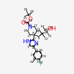 Cc1cc(-c2c[nH]c(C3(CC(C)(C)[Si](C)(C)O)CCN(C(=O)OC(C)(C)C)CC3)n2)ccc1F